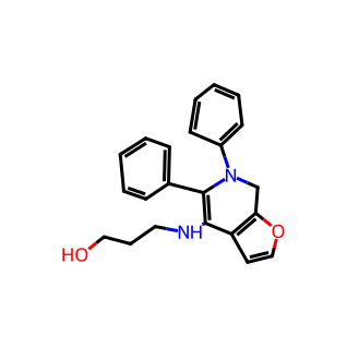 OCCCNC1=C(c2ccccc2)N(c2ccccc2)Cc2occc21